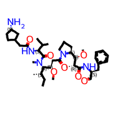 CC[C@H](C)[C@@H]([C@@H](CC(=O)N1CCC[C@H]1[C@H](OC)[C@@H](C)C(=O)N[C@H](C=O)Cc1ccccc1)OC)N(C)C(=O)[C@@H](NC(=O)CC1CC[C@H](N)C1)C(C)C